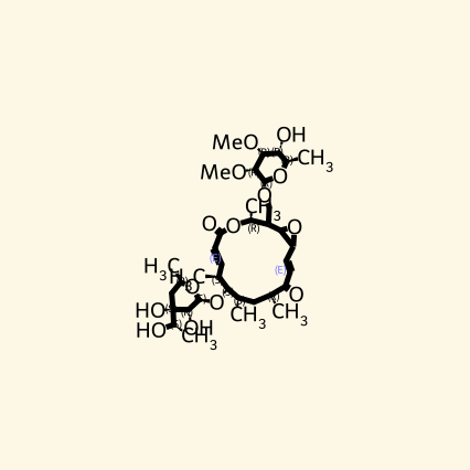 CO[C@@H]1[C@H](O)[C@@H](C)O[C@@H](OCC2C3OC3/C=C/C(=O)[C@H](C)C[C@H](C)[C@H](O[C@@H]3O[C@H](C)C[C@](O)([C@H](C)O)[C@H]3O)[C@@H](C)/C=C/C(=O)O[C@@H]2C)[C@@H]1OC